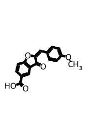 COc1ccc(C=C2Oc3ccc(C(=O)O)cc3C2=O)cc1